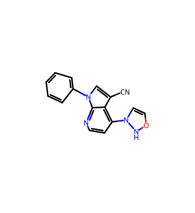 N#Cc1cn(-c2ccccc2)c2nccc(N3C=CON3)c12